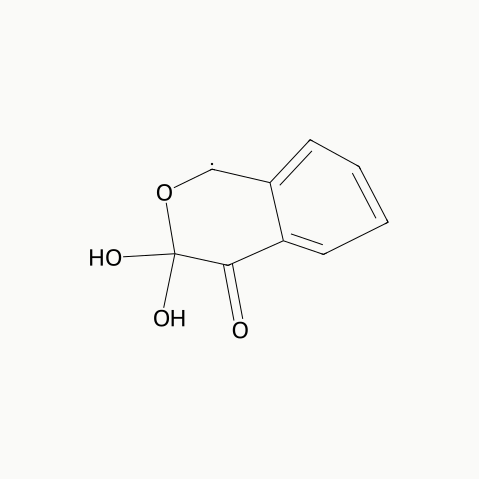 O=C1c2ccccc2[CH]OC1(O)O